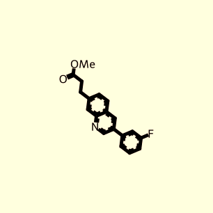 COC(=O)CCc1ccc2cc(-c3cccc(F)c3)cnc2c1